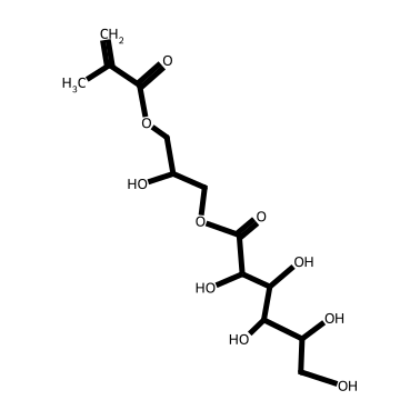 C=C(C)C(=O)OCC(O)COC(=O)C(O)C(O)C(O)C(O)CO